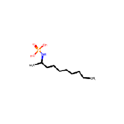 CCCCCCCCC(C)NP(=O)(O)O